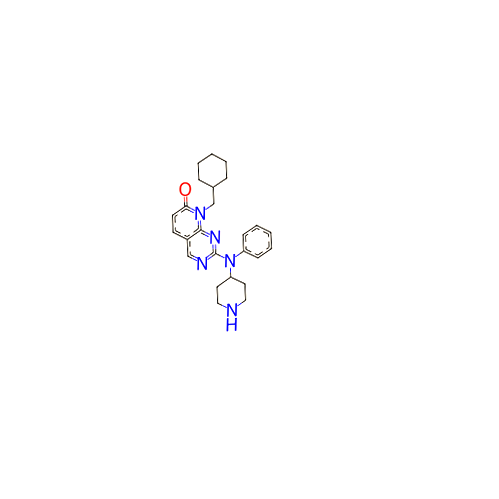 O=c1ccc2cnc(N(c3ccccc3)C3CCNCC3)nc2n1CC1CCCCC1